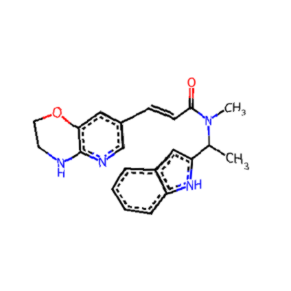 CC(c1cc2ccccc2[nH]1)N(C)C(=O)C=Cc1cnc2c(c1)OCCN2